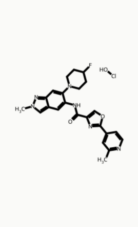 Cc1cc(-c2nc(C(=O)Nc3cc4cn(C)nc4cc3N3CCC(F)CC3)co2)ccn1.OCl